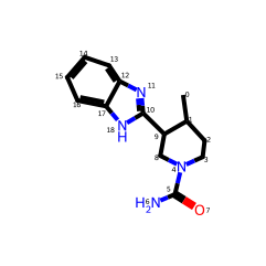 CC1CCN(C(N)=O)CC1c1nc2ccccc2[nH]1